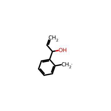 [CH2]c1ccccc1C(O)C=C